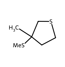 CSC1(C)CCSC1